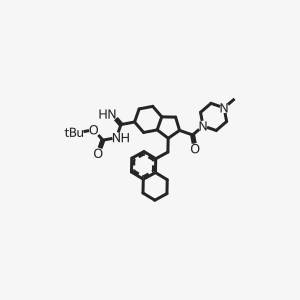 CN1CCN(C(=O)C2CC3CCC(C(=N)NC(=O)OC(C)(C)C)CC3C2Cc2cccc3c2CCCC3)CC1